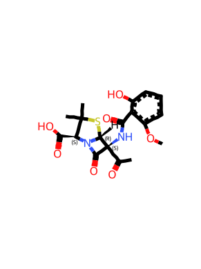 COc1cccc(O)c1C(=O)N[C@@]1(C(C)=O)C(=O)N2[C@@H](C(=O)O)C(C)(C)S[C@@H]21